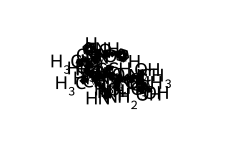 CC[C@H](C)[C@H](NC(=O)[C@@H](CCCNC(=N)N)NC(=O)[C@H](CC(C)C)NC(=O)[C@@H](NC(=O)[C@@H](NC(=O)OCc1ccccc1)[C@H](N)c1ccccc1)[C@H](O)C(C)C)C(=O)N[C@H](C(=O)NCC(=O)N[C@H](C(=O)N[C@@H](CO)C(=O)O)[C@H](C)O)[C@H](C)O